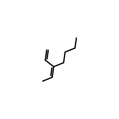 C=[C]/C(=C\C)CCCC